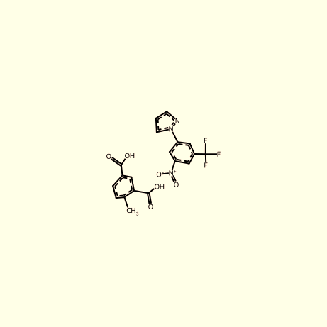 Cc1ccc(C(=O)O)cc1C(=O)O.O=[N+]([O-])c1cc(-n2cccn2)cc(C(F)(F)F)c1